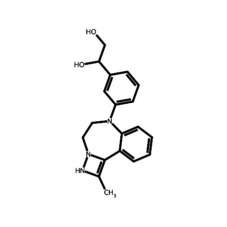 Cc1[nH]n2c1-c1ccccc1N(c1cccc(C(O)CO)c1)CC2